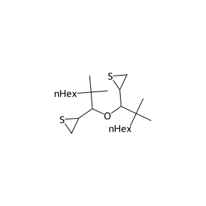 CCCCCCC(C)(C)C(OC(C1CS1)C(C)(C)CCCCCC)C1CS1